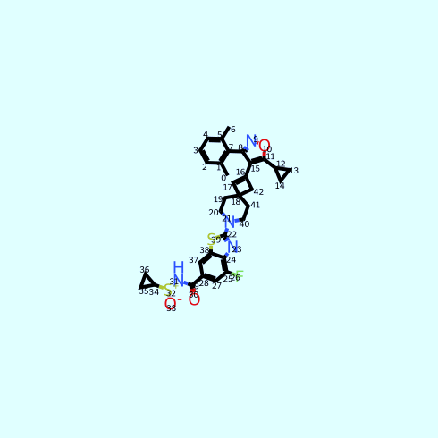 Cc1cccc(C)c1-c1noc(C2CC2)c1C1=CC2(CCN(c3nc4c(F)cc(C(=O)N[S+]([O-])C5CC5)cc4s3)CC2)C1